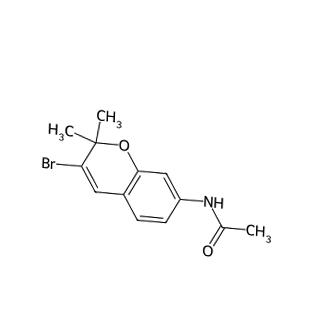 CC(=O)Nc1ccc2c(c1)OC(C)(C)C(Br)=C2